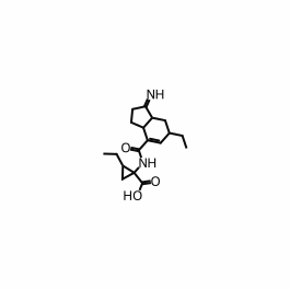 CCC1C=C(C(=O)NC2(C(=O)O)CC2CC)C2CCC(=N)C2C1